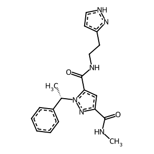 CNC(=O)c1cc(C(=O)NCCc2cc[nH]n2)n([C@@H](C)c2ccccc2)n1